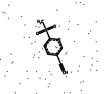 C#Cc1ccc(S(C)(=O)=O)nc1